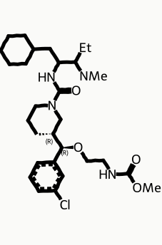 CCC(NC)C(CC1CCCCC1)NC(=O)N1CCC[C@@H]([C@@H](OCCNC(=O)OC)c2cccc(Cl)c2)C1